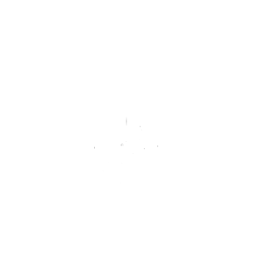 COC(=O)[C@]1(C#CC2CCCCC2)CC(=O)c2ccccc2O1